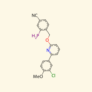 COc1ccc(-c2cccc(OCc3ccc(C#N)cc3P)n2)cc1Cl